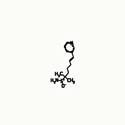 CC(C)(CCCC=Cc1cccnc1)[S+](N)[O-]